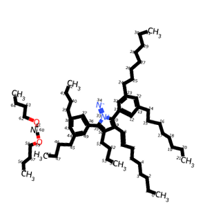 CCCCCCCC=CC1=C(c2cc(CCCCCCCC)cc(CCCCCCCC)c2)[N+](=[N-])C(c2cc(CCCC)cc(CCCC)c2)=C1CCCC.CCCC[O][Ni][O]CCCC